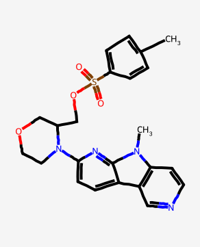 Cc1ccc(S(=O)(=O)OCC2COCCN2c2ccc3c4cnccc4n(C)c3n2)cc1